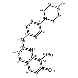 CN1CCN(c2ccc(Nc3ncc4ccc(=O)n(C(C)(C)C)c4n3)cc2)CC1